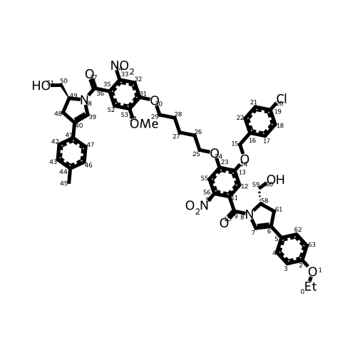 CCOc1ccc(C2=CN(C(=O)c3cc(OCc4ccc(Cl)cc4)c(OCCCCCOc4cc([N+](=O)[O-])c(C(=O)N5C=C(c6ccc(C)cc6)C[C@H]5CO)cc4OC)cc3[N+](=O)[O-])[C@H](CO)C2)cc1